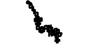 C#CCOCCCCOCCS(=O)(=O)N1CC(Oc2cccc(Oc3ccc(C(=O)N[C@@H](CCC(C)(C)C)C(=O)OC)cn3)c2)C1